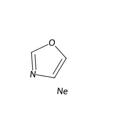 [Ne].c1cocn1